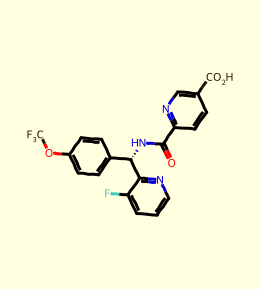 O=C(O)c1ccc(C(=O)N[C@@H](c2ccc(OC(F)(F)F)cc2)c2ncccc2F)nc1